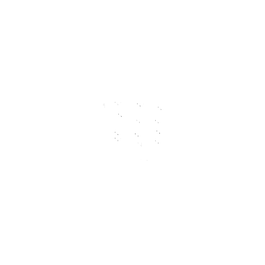 [N-]=[N+]=[N-].[N-]=[N+]=[N-].[N-]=[N+]=[N-].[N-]=[N+]=[N-].[Pb+2].[Pb+2]